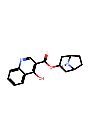 CN1C2CCC1CC(OC(=O)c1cnc3ccccc3c1O)C2